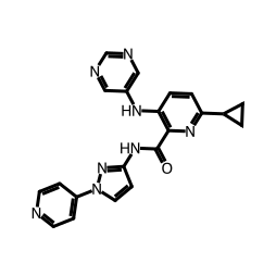 O=C(Nc1ccn(-c2ccncc2)n1)c1nc(C2CC2)ccc1Nc1cncnc1